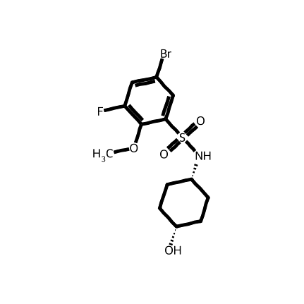 COc1c(F)cc(Br)cc1S(=O)(=O)N[C@H]1CC[C@@H](O)CC1